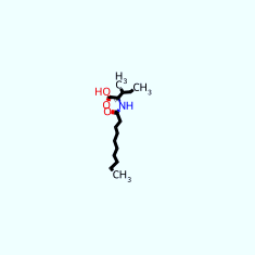 CCCCCCCCCC(=O)N[C@@H](C(=O)O)C(C)CC